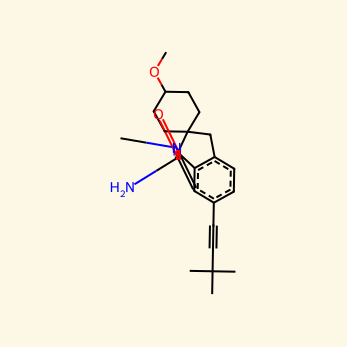 COC1CCC2(CC1)Cc1ccc(C#CC(C)(C)C)cc1C21N=C(N)N(C)C1=O